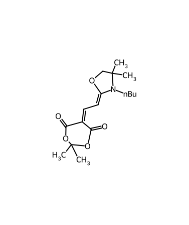 CCCCN1/C(=C/C=C2C(=O)OC(C)(C)OC2=O)OCC1(C)C